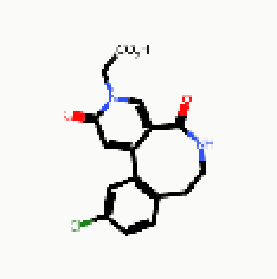 O=C(O)Cn1cc2c(cc1=O)-c1cc(Cl)ccc1CCNC2=O